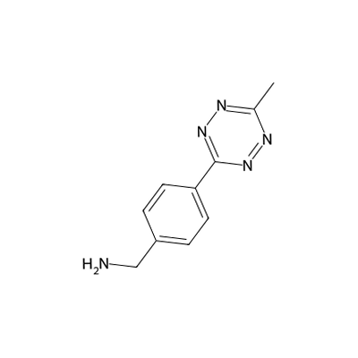 Cc1nnc(-c2ccc(CN)cc2)nn1